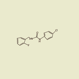 O=C(NCc1ccccc1F)Nc1ccc(Cl)cc1